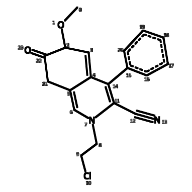 COC1C=C2C(=CN(CCCl)C(C#N)=C2c2ccccc2)CC1=O